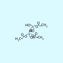 C=CC(=O)OCC(CO)(CO)COCC(CO)(COC(=O)C=C)COC(=O)C=C